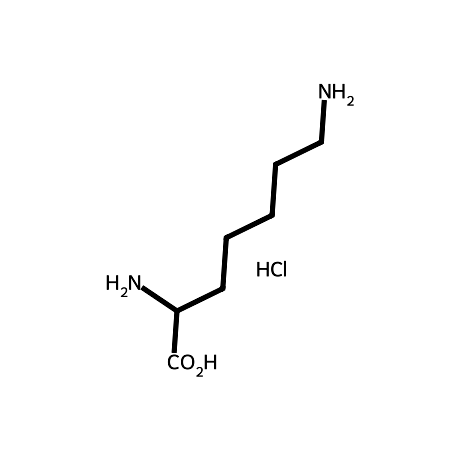 Cl.NCCCCCC(N)C(=O)O